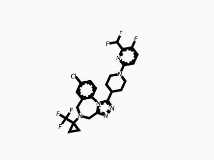 Fc1ccc(N2CCC(c3nnc4n3-c3ccc(Cl)cc3CN(C3(C(F)(F)F)CC3)C4)CC2)nc1C(F)F